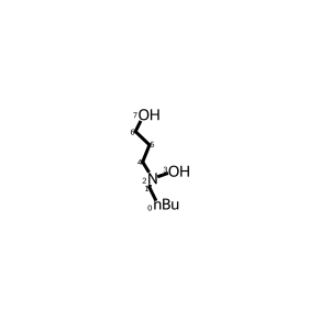 CCCCCN(O)CCCO